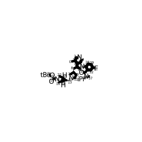 Cc1cncc2c1c(C[C@@H]1CCN(C[C@@H]3[C@H]4CN(C(=O)OC(C)(C)C)C[C@@H]34)C1)cn2-c1ccc(F)cc1C(=O)N(C)C(C)C